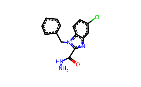 NNC(=O)c1nc2cc(Cl)ccc2n1Cc1ccccc1